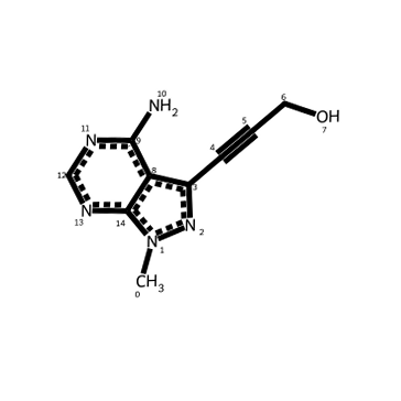 Cn1nc(C#CCO)c2c(N)ncnc21